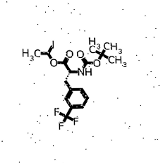 CC(I)OC(=O)[C@@H](Cc1cccc(C(F)(F)F)c1)NC(=O)OC(C)(C)C